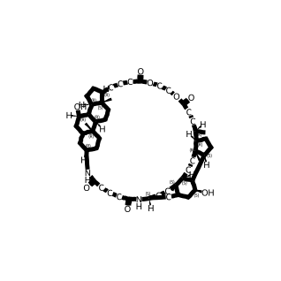 C[C@@H]1CCC(=O)OCCOC(=O)CCC[C@@H]2CC[C@@H]3C4[C@H](O)CC5C[C@@H](CC[C@@]5(C)[C@@H]4CC[C@@]23C)NC(=O)CCCC(=O)N[C@H]2CC[C@@]3(C)C(C2)C[C@H](O)C2[C@@H]4CC[C@H]1[C@@]4(C)CC[C@@H]23